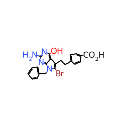 Nc1nc(O)c2c(CCc3ccc(C(=O)O)cc3)c(Br)n(Cc3ccccc3)c2n1